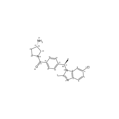 Cc1nc2ccc(Cl)cc2n1[C@H](C)c1ccc(C(=O)N2CC[C@H](N)C2)cc1